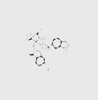 COc1ccc2c(c1)CN(CC1(CNC(=O)c3ccc4c(c3)NCC4)NC(=O)NC1=O)C2=O